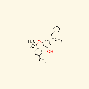 CC1=CCC2C(C1)c1c(O)cc(C(C)CC3CCCC3)cc1OC2(C)C